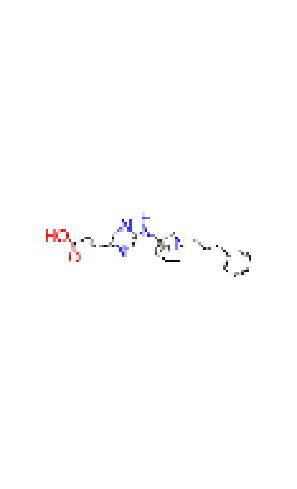 O=C(O)C=Cc1cnc(N[C@@H]2CCCN(CCCc3ccccc3)C2)cn1